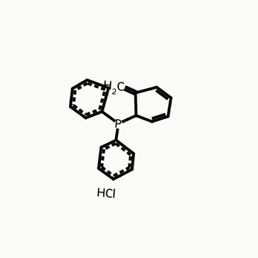 C=C1C=CC=CC1P(c1ccccc1)c1ccccc1.Cl